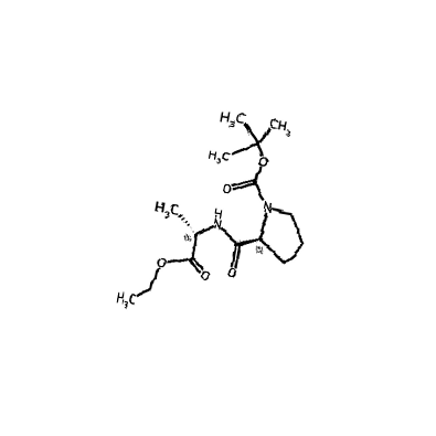 CCOC(=O)[C@H](C)NC(=O)[C@@H]1CCCN1C(=O)OC(C)(C)C